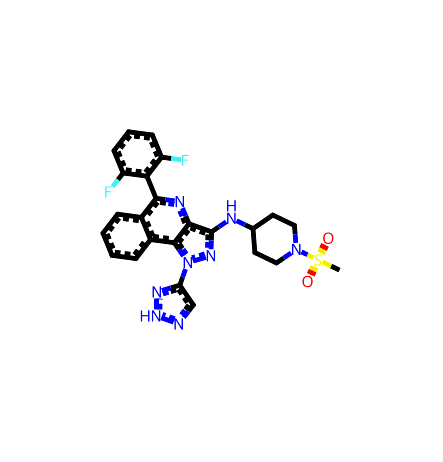 CS(=O)(=O)N1CCC(Nc2nn(-c3cn[nH]n3)c3c2nc(-c2c(F)cccc2F)c2ccccc23)CC1